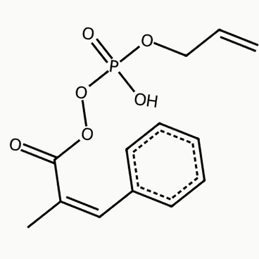 C=CCOP(=O)(O)OOC(=O)C(C)=Cc1ccccc1